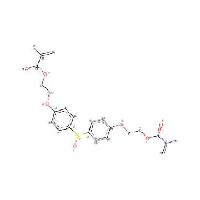 C=C(C)C(=O)OCCOc1ccc([S+]([O-])c2ccc(OCCOC(=O)C(=C)C)cc2)cc1